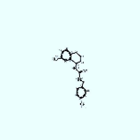 O=C(NCc1ccc(C(F)(F)F)cc1)N[C@@H]1CCCc2ccc(O)cc21